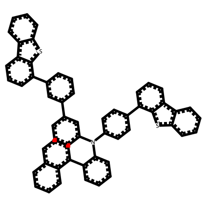 c1cc(-c2cccc(N(c3ccc(-c4cccc5c4sc4ccccc45)cc3)c3ccccc3-c3cccc4ccccc34)c2)cc(-c2cccc3c2sc2ccccc23)c1